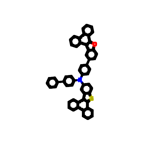 c1ccc(-c2ccc(N(c3ccc(-c4ccc5oc6c7ccccc7c7ccccc7c6c5c4)cc3)c3ccc4sc5c6ccccc6c6ccccc6c5c4c3)cc2)cc1